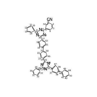 N#Cc1cccc(-c2nc(-c3ccccc3)nc(-c3ccc(-c4ccc(-c5nc(-c6ccccc6)nc(-c6ccc(-c7ccccc7)cc6)n5)cc4)cc3)n2)c1